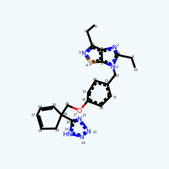 CCc1nsc2c1nc(CC)n2Cc1ccc(OCC2(c3nnn[nH]3)C=CC=CC2)cc1